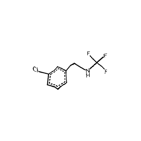 FC(F)(F)NCc1cccc(Cl)c1